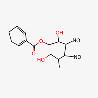 CC(CO)C(N=O)C(N=O)C(O)COC(=O)C1=CCCC=C1